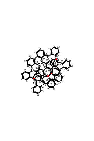 c1ccc2c(c1)Sc1cc(-n3c4ccccc4c4cccc(-n5c6ccccc6c6ccccc65)c43)c(-c3c(-n4c5ccccc5c5cccc(-n6c7ccccc7c7ccccc76)c54)cc4c5c3Sc3ccccc3B5c3ccccc3S4)c3c1B2c1ccccc1S3